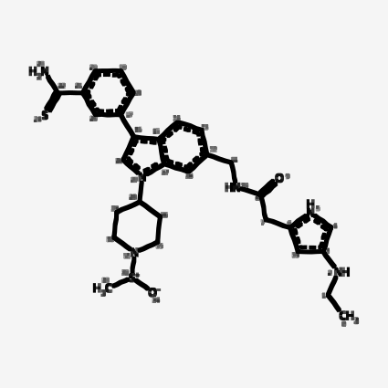 CCNc1c[nH]c(CC(=O)NCc2ccc3c(-c4cccc(C(N)=S)c4)cn(C4CCN([S+](C)[O-])CC4)c3c2)c1